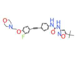 CC(C)(C)c1cc(NC(=O)Nc2ccc(C#Cc3ccc(OCCN4CCOCC4)c(F)c3)cc2)no1